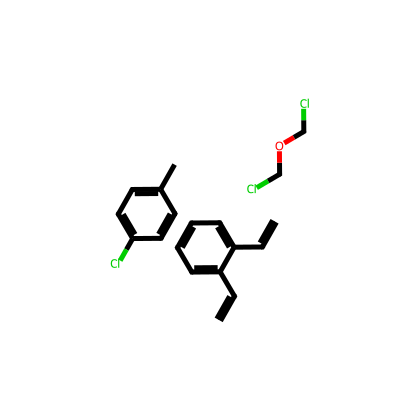 C=Cc1ccccc1C=C.Cc1ccc(Cl)cc1.ClCOCCl